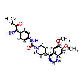 CCC(=O)C(=N)c1ccc(NC(=O)N2CCC(c3ncnc4cc(OC)c(OC)cc34)CC2)cc1